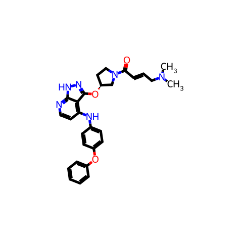 CN(C)CC=CC(=O)N1CC[C@@H](Oc2n[nH]c3nccc(Nc4ccc(Oc5ccccc5)cc4)c23)C1